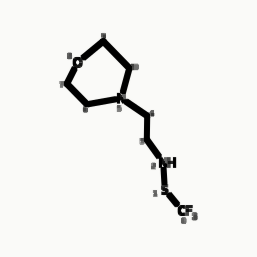 FC(F)(F)SNCCN1CCOCC1